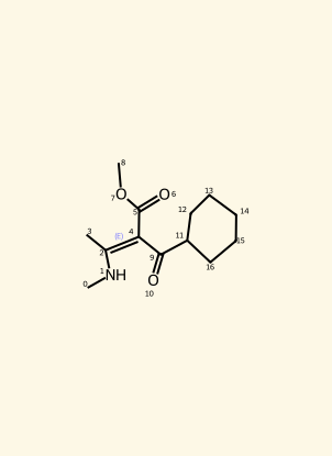 CN/C(C)=C(/C(=O)OC)C(=O)C1CCCCC1